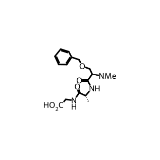 CN[C@H](COCc1ccccc1)C(=O)N[C@H](C)C(=O)NCC(=O)O